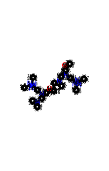 c1ccc(-c2nc(-c3ccccc3)nc(-c3ccc(-n4c5cc(-n6c7ccccc7c7ccccc76)ccc5c5cc6c(cc54)oc4c(-c5cccc7c5c5ccccc5n7-c5ccc7c8cc9oc%10ccccc%10c9cc8n(-c8ccc(-c9nc(-c%10ccccc%10)nc(-c%10ccccc%10)n9)cc8)c7c5)cccc46)cc3)n2)cc1